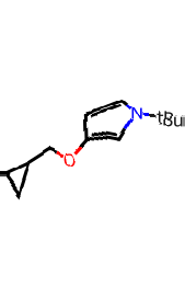 CC(C)(C)n1ccc(OCC2CC2)c1